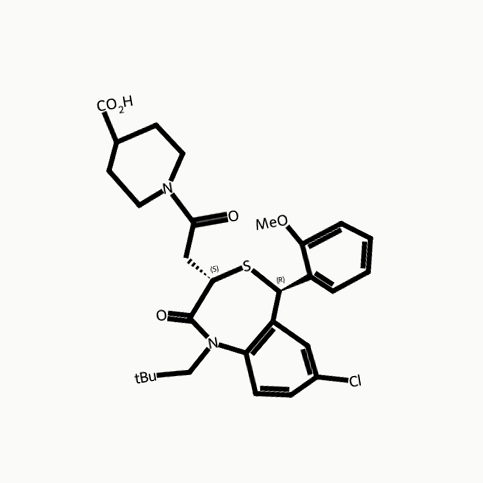 COc1ccccc1[C@@H]1S[C@@H](CC(=O)N2CCC(C(=O)O)CC2)C(=O)N(CC(C)(C)C)c2ccc(Cl)cc21